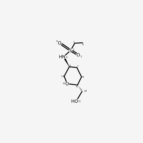 CCS(=O)(=O)N[C@H]1CC[C@H](CO)OC1